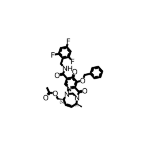 CC(=O)OC[C@@H]1C=C[C@H](C)N2CN1n1cc(C(=O)NCc3c(F)cc(F)cc3F)c(=O)c(OCc3ccccc3)c1C2=O